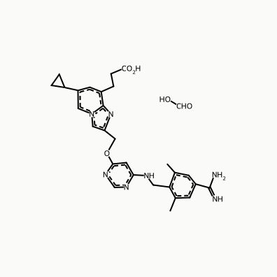 Cc1cc(C(=N)N)cc(C)c1CNc1cc(OCc2cn3cc(C4CC4)cc(CCC(=O)O)c3n2)ncn1.O=CO